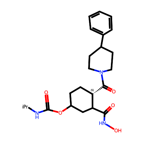 CC(C)NC(=O)OC1CC[C@H](C(=O)N2CCC(c3ccccc3)CC2)C(C(=O)NO)C1